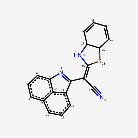 N#C/C(C1=Nc2cccc3cccc1c23)=C1/NC2C=CC=CC2S1